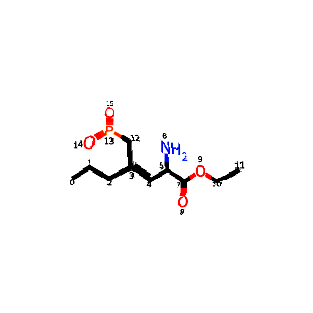 CCCC(=CC(N)C(=O)OCC)CP(=O)=O